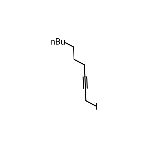 CCCCCCCC#CCI